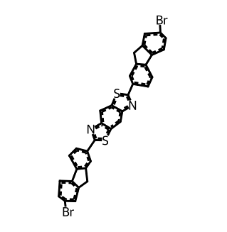 Brc1ccc2c(c1)Cc1cc(-c3nc4cc5sc(-c6ccc7c(c6)Cc6cc(Br)ccc6-7)nc5cc4s3)ccc1-2